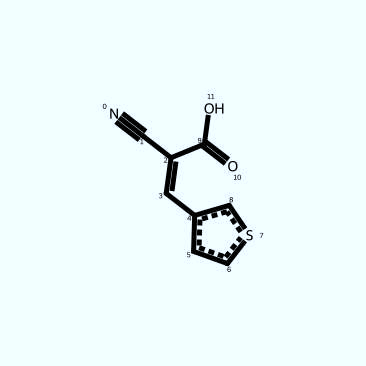 N#CC(=Cc1ccsc1)C(=O)O